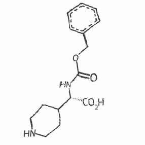 O=C(N[C@H](C(=O)O)C1CCNCC1)OCc1ccccc1